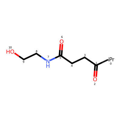 CC(C)C(=O)CCC(=O)NCCO